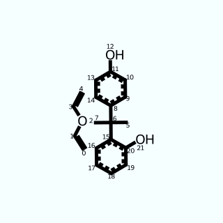 C=COC=C.CC(C)(c1ccc(O)cc1)c1ccccc1O